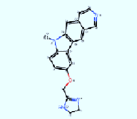 CCn1c2ccc(OCC3=NCCN3)cc2c2cc3cnccc3cc21